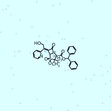 CC1(C)[C@H](C(=O)OC(c2ccccc2)c2ccccc2)N2C(=O)/C(=C(\CO)c3ccccn3)C2S1(=O)=O